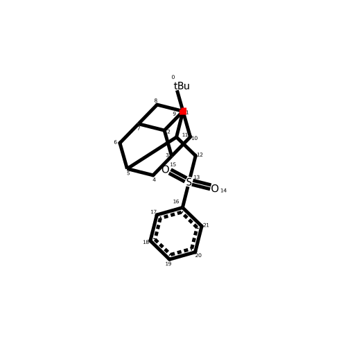 CC(C)(C)CC1C2CC3CC1CC(C2)C3CS(=O)(=O)c1ccccc1